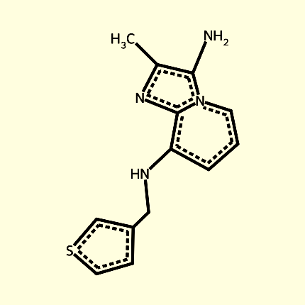 Cc1nc2c(NCc3ccsc3)cccn2c1N